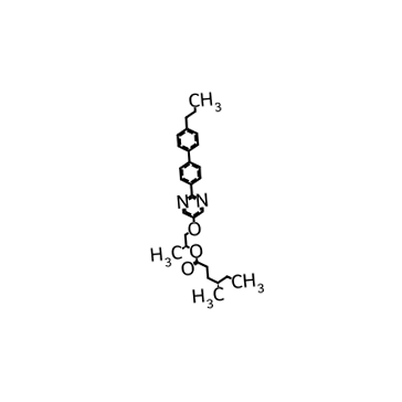 CCCc1ccc(-c2ccc(-c3ncc(OC[C@H](C)OC(=O)CC[C@@H](C)CC)cn3)cc2)cc1